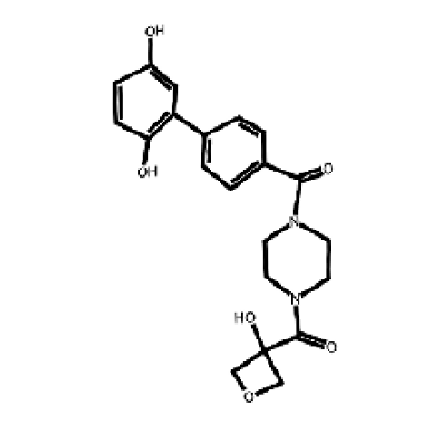 O=C(c1ccc(-c2cc(O)ccc2O)cc1)N1CCN(C(=O)C2(O)COC2)CC1